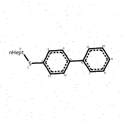 [CH2]CCCCCCSc1ccc(-c2ccccc2)cc1